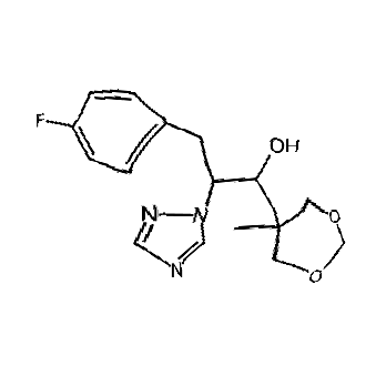 CC1(C(O)C(Cc2ccc(F)cc2)n2cncn2)COCOC1